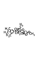 COC(=O)CC(=O)Oc1c(C)cc(C(C)(C)c2cc(C)c(C)c(C)c2)cc1C